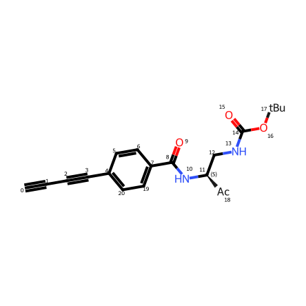 C#CC#Cc1ccc(C(=O)N[C@@H](CNC(=O)OC(C)(C)C)C(C)=O)cc1